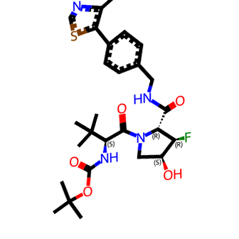 Cc1ncsc1-c1ccc(CNC(=O)[C@@H]2[C@@H](F)[C@@H](O)CN2C(=O)[C@@H](NC(=O)OC(C)(C)C)C(C)(C)C)cc1